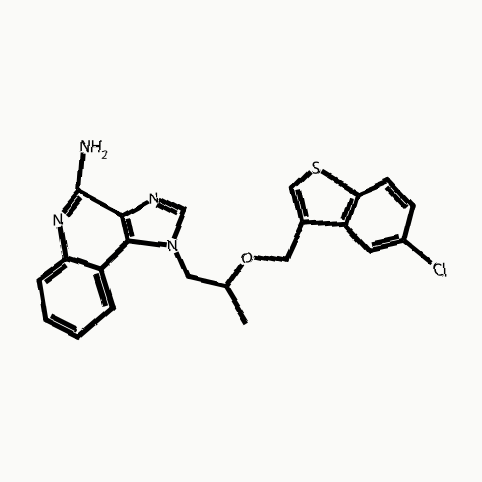 CC(Cn1cnc2c(N)nc3ccccc3c21)OCc1csc2ccc(Cl)cc12